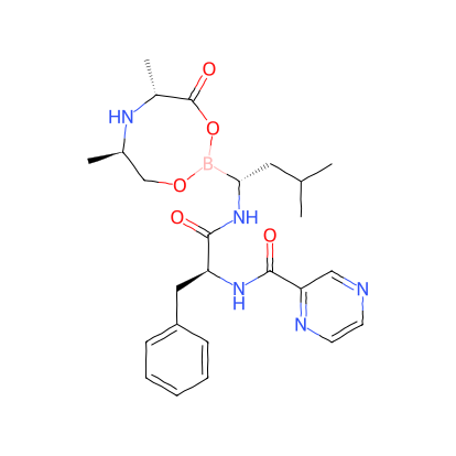 CC(C)C[C@H](NC(=O)[C@H](Cc1ccccc1)NC(=O)c1cnccn1)B1OC[C@@H](C)N[C@H](C)C(=O)O1